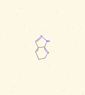 C1=c2cn[nH]c2=NCC1